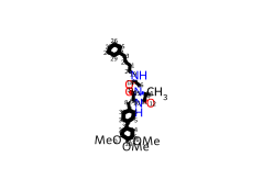 COc1cc(-c2ccc(C[C@H]3NC(=O)[C@@H](C)N(CC(=O)NCCCCc4ccccc4)C3=O)cc2)cc(OC)c1OC